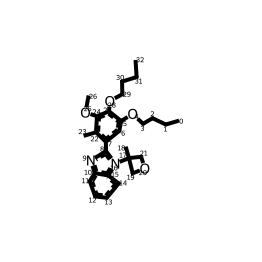 CCCCOc1cc(-c2nc3ccccc3n2C2(C)COC2)c(C)c(OC)c1OCCCC